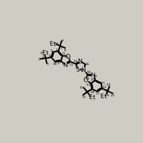 CCC(C)(C)c1cc(C(C)(C)CC)c2oc(C3=NCN(c4nc5cc(C(C)(C)CC)cc(C(C)(C)CC)c5o4)S3)nc2c1